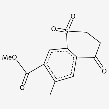 COC(=O)c1cc2c(cc1C)C(=O)CCS2(=O)=O